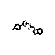 Cc1ccc(-c2csc(NC(=O)Cn3cnc4ccccc43)n2)cc1